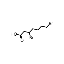 O=C(O)CC(Br)CCCCBr